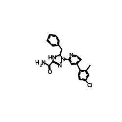 Cc1cc(Cl)ccc1-c1ccnc(N2N=C(C(N)=O)NC2Cc2ccccc2)c1